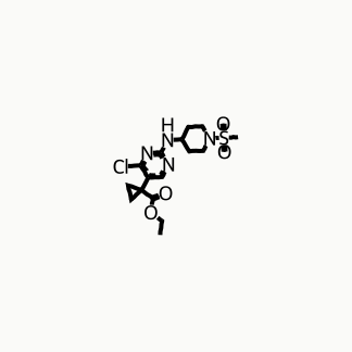 CCOC(=O)C1(c2cnc(NC3CCN(S(C)(=O)=O)CC3)nc2Cl)CC1